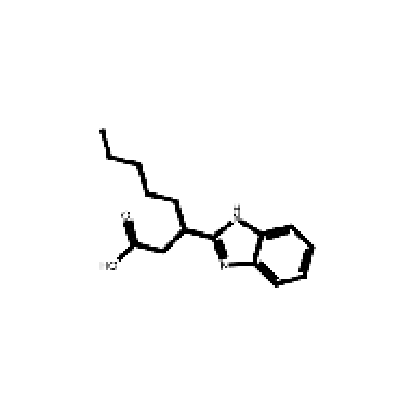 CCCCCC(CC(=O)O)c1nc2ccccc2[nH]1